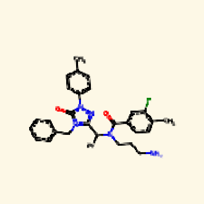 Cc1ccc(-n2nc(C(C(C)C)N(CCCN)C(=O)c3ccc(C)c(F)c3)n(Cc3ccccc3)c2=O)cc1